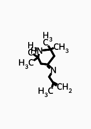 C=C(C)CN=C1CC(C)(C)NC(C)(C)C1